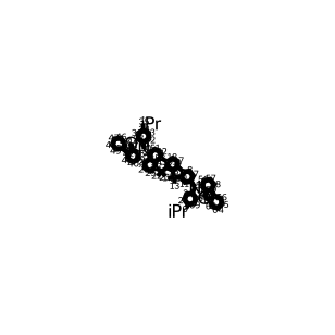 CC(C)c1ccc(N(c2ccc3c(c2)C(C)(C)c2c-3ccc3c2C(C)(C)c2cccc4c(N(c5ccc(C(C)C)cc5)c5cccc6c5oc5ccccc56)ccc-3c24)c2cccc3c2oc2ccccc23)cc1